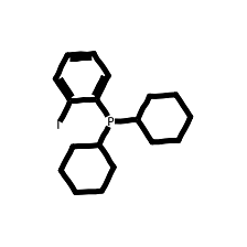 Ic1ccccc1P(C1CCCCC1)C1CCCCC1